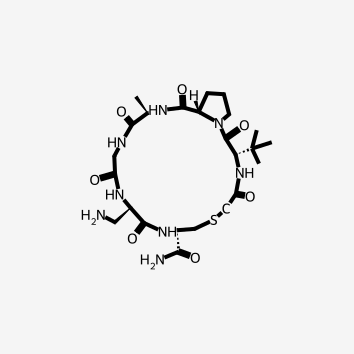 C[C@H]1NC(=O)[C@@H]2CCCN2C(=O)[C@H](C(C)(C)C)NC(=O)CSC[C@H](C(N)=O)NC(=O)[C@@H](CN)NC(=O)CNC1=O